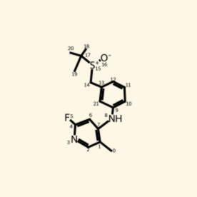 Cc1cnc(F)cc1Nc1cccc(C[S+]([O-])C(C)(C)C)c1